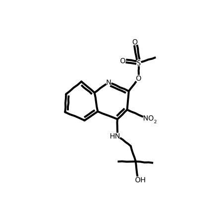 CC(C)(O)CNc1c([N+](=O)[O-])c(OS(C)(=O)=O)nc2ccccc12